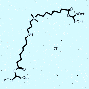 CCCCCCCCC(CCCCCCCC)OC(=O)CCCCCCCNCCC[N+](C)(C)CCCCCCCC(=O)OC(CCCCCCCC)CCCCCCCC.[Cl-]